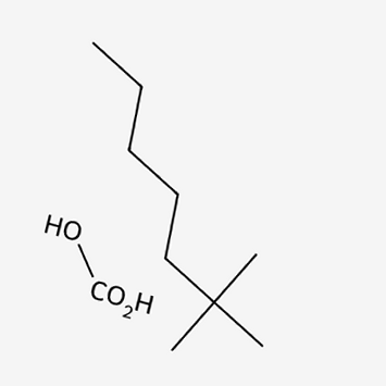 CCCCCC(C)(C)C.O=C(O)O